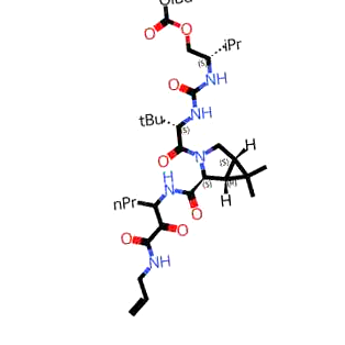 C=CCNC(=O)C(=O)C(CCC)NC(=O)[C@@H]1[C@@H]2[C@H](CN1C(=O)[C@@H](NC(=O)N[C@H](COC(=O)OCC(C)C)C(C)C)C(C)(C)C)C2(C)C